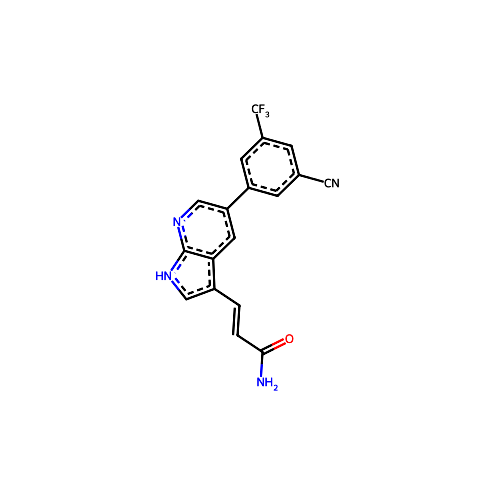 N#Cc1cc(-c2cnc3[nH]cc(/C=C/C(N)=O)c3c2)cc(C(F)(F)F)c1